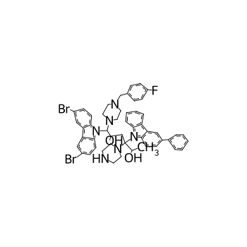 CC(O)C(CC(O)C(N1CCN(Cc2ccc(F)cc2)CC1)n1c2ccc(Br)cc2c2cc(Br)ccc21)(N1CCNCC1)n1c2ccccc2c2cc(-c3ccccc3)ccc21